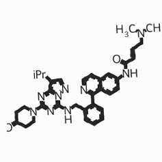 CC(C)c1cnn2c(NCc3ccccc3-c3nccc4cc(NC(=O)/C=C/CN(C)C)ccc34)nc(N3CCC(=O)CC3)nc12